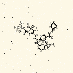 CC(C)(C)OC(=O)N1C[C@@H](CCC(Nc2cccc(S(N)(=O)=O)n2)C2=CCN(C(=O)OCc3ccccc3)CC2)CC1(C)C